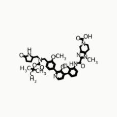 COc1cc(-c2nccc(-c3cccc(NC(=O)c4nc5c(n4C)CCN(C(=O)O)C5)c3Cl)c2Cl)ccc1CN(CC1CCC(=O)N1)C(=O)OC(C)(C)C